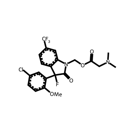 COc1ccc(Cl)cc1C1(F)C(=O)N(COC(=O)CN(C)C)c2cc(C(F)(F)F)ccc21